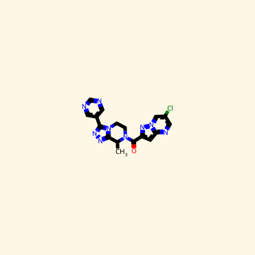 CC1c2nnc(-c3cncnc3)n2CCN1C(=O)c1cc2ncc(Cl)cn2n1